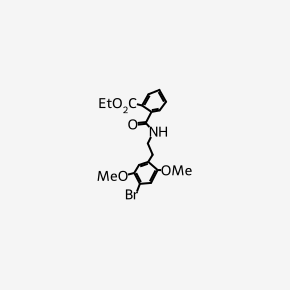 CCOC(=O)c1ccccc1C(=O)NCCc1cc(OC)c(Br)cc1OC